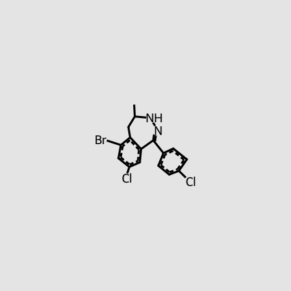 CC1Cc2c(Br)cc(Cl)cc2C(c2ccc(Cl)cc2)=NN1